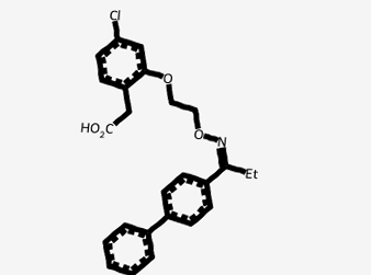 CCC(=NOCCOc1cc(Cl)ccc1CC(=O)O)c1ccc(-c2ccccc2)cc1